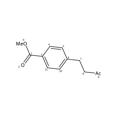 COC(=O)c1ccc(CCC(C)=O)cc1